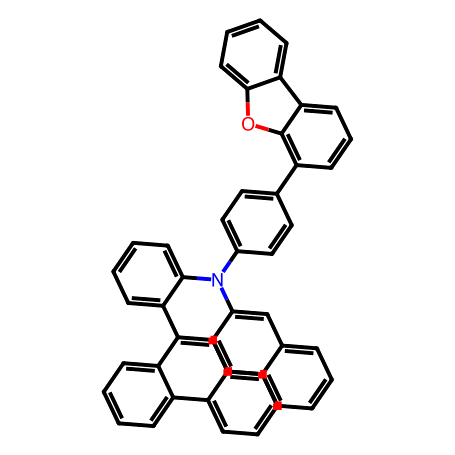 c1ccc(N(c2ccc(-c3cccc4c3oc3ccccc34)cc2)c2ccc3ccccc3c2)c(-c2cc3ccccc3c3ccccc23)c1